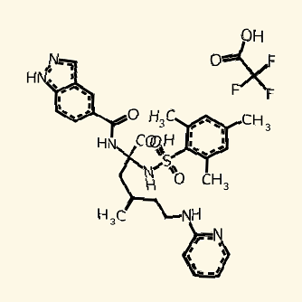 Cc1cc(C)c(S(=O)(=O)N[C@](CC(C)CCNc2ccccn2)(NC(=O)c2ccc3[nH]ncc3c2)C(=O)O)c(C)c1.O=C(O)C(F)(F)F